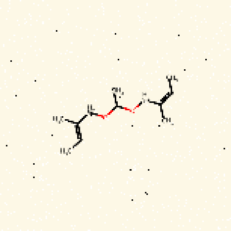 CC=C(C)[SiH2]OC([SiH3])O[SiH2]C(C)=CC